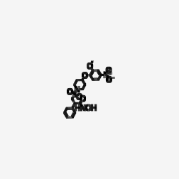 COc1cc([N+](=O)[O-])ccc1OC1CCN(S(=O)(=O)C[C@@H](C(=O)NO)c2ccccc2)CC1